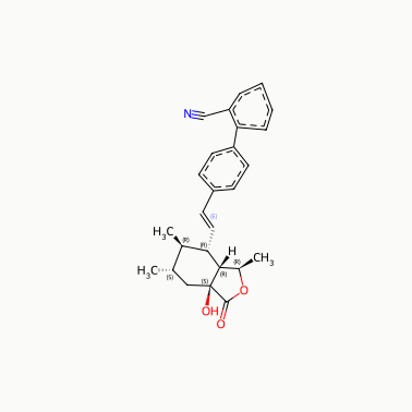 C[C@H]1[C@H](/C=C/c2ccc(-c3ccccc3C#N)cc2)[C@@H]2[C@@H](C)OC(=O)[C@]2(O)C[C@@H]1C